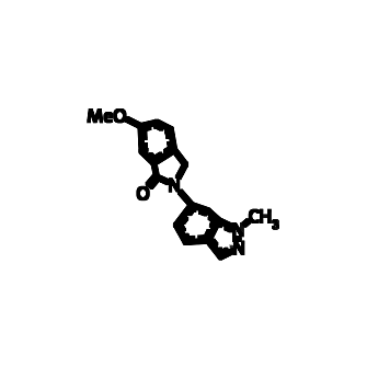 COc1ccc2c(c1)C(=O)N(c1ccc3cnn(C)c3c1)C2